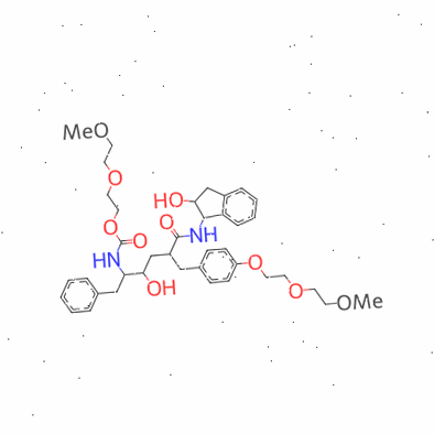 COCCOCCOC(=O)NC(Cc1ccccc1)C(O)CC(Cc1ccc(OCCOCCOC)cc1)C(=O)NC1c2ccccc2CC1O